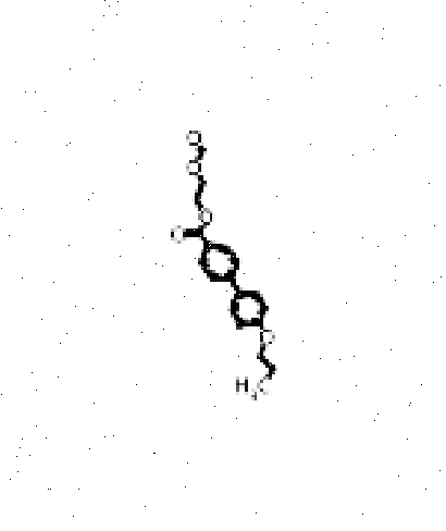 CCCOc1ccc(-c2ccc(C(=O)OCCOC=O)cc2)cc1